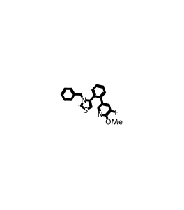 COc1ncc(-c2ccccc2C2=CS[CH]N2Cc2ccccc2)cc1F